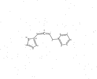 C(=CCc1ccccc1)=Cc1cccs1